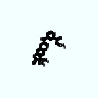 COC(=O)c1cc(NC(=O)Cc2cc3c(cc2F)C(C)(C)C(=O)O3)ccn1